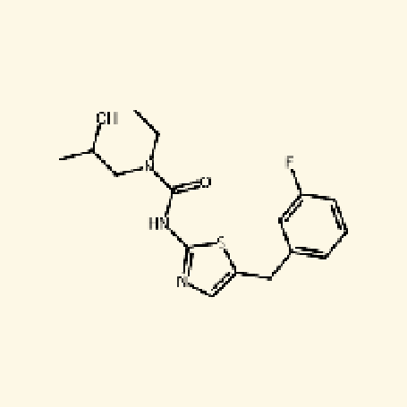 CCN(CC(C)O)C(=O)Nc1ncc(Cc2cccc(F)c2)s1